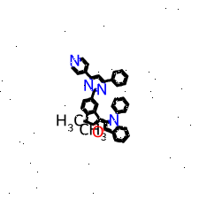 CC1(C)c2ccc(-c3nc(-c4ccccc4)cc(-c4ccncc4)n3)cc2-c2c1oc1c3ccccc3n(-c3ccccc3)c21